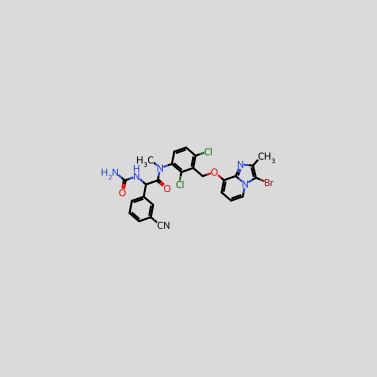 Cc1nc2c(OCc3c(Cl)ccc(N(C)C(=O)C(NC(N)=O)c4cccc(C#N)c4)c3Cl)cccn2c1Br